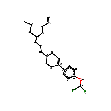 C=CCCC(CCC)CCCC1CC=C(c2ccc(OC(F)F)cc2)CC1